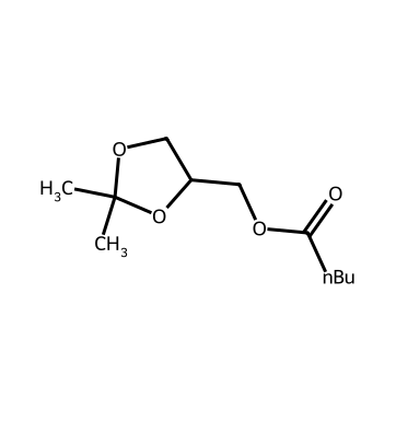 CCCCC(=O)OCC1COC(C)(C)O1